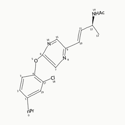 CCCc1ccc(Oc2cnc(/C=C/[C@H](C)NC(C)=O)cn2)c(Cl)c1